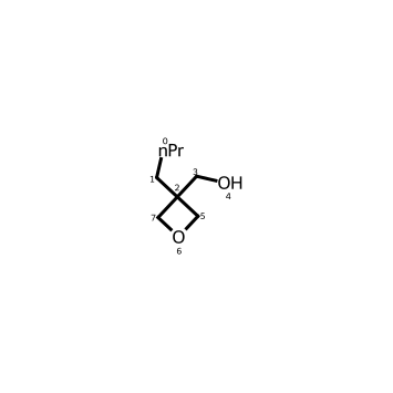 CCCCC1(CO)COC1